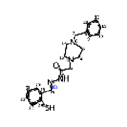 O=C(CN1CCN(Cc2ccccc2)CC1)N/N=C/c1cc#ccc1S